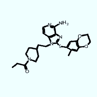 CCC(=O)N1CCC(CCn2c(Sc3cc4c(cc3C)OCCO4)nc3c(N)nccc32)CC1